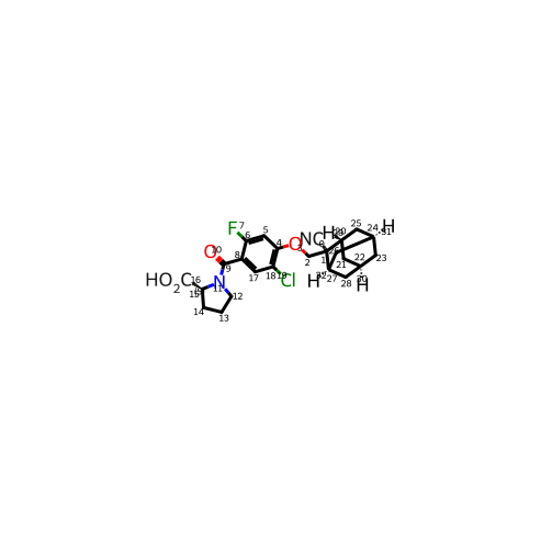 N#CC1(COc2cc(F)c(C(=O)N3CCC[C@H]3C(=O)O)cc2Cl)[C@H]2C[C@H]3C[C@H](C2)C[C@H]1C3